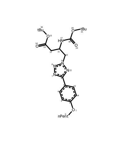 CCCCCOc1ccc(-c2nnn(CC(CC(=O)OC(C)(C)C)NC(=O)OC(C)(C)C)n2)cc1